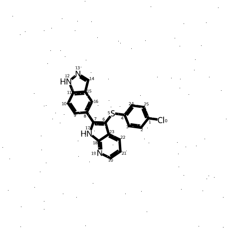 Clc1ccc(Sc2c(-c3ccc4[nH]ncc4c3)[nH]c3ncccc23)cc1